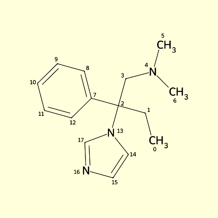 CCC(CN(C)C)(c1ccccc1)n1ccnc1